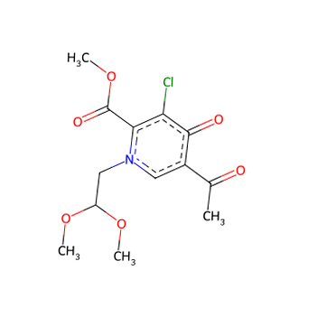 COC(=O)c1c(Cl)c(=O)c(C(C)=O)cn1CC(OC)OC